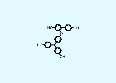 Oc1ccc(-c2ccc(O)cc2Oc2ccc(C(c3ccc(O)cc3)c3ccc(O)cc3)cc2)cc1